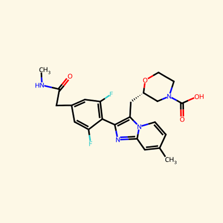 CNC(=O)Cc1cc(F)c(-c2nc3cc(C)ccn3c2C[C@H]2CN(C(=O)O)CCO2)c(F)c1